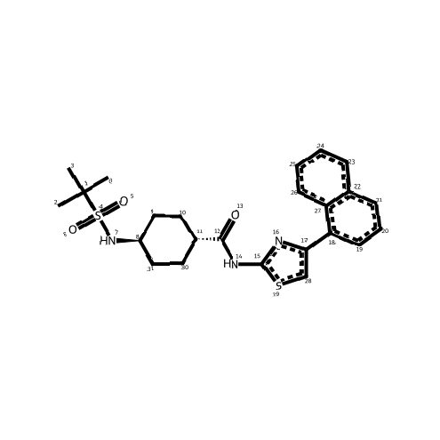 CC(C)(C)S(=O)(=O)N[C@H]1CC[C@H](C(=O)Nc2nc(-c3cccc4ccccc34)cs2)CC1